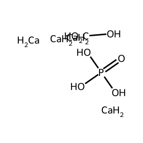 O=C(O)O.O=P(O)(O)O.[CaH2].[CaH2].[CaH2].[CaH2]